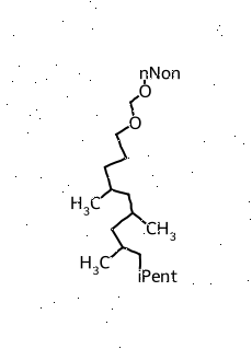 CCCCCCCCCOCOCCCC(C)CC(C)CC(C)CC(C)CCC